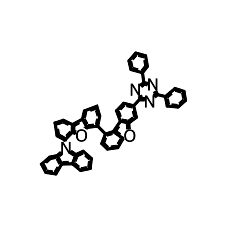 c1ccc(-c2nc(-c3ccccc3)nc(-c3ccc4c(c3)oc3cccc(-c5cccc6c5oc5c(-n7c8ccccc8c8ccccc87)cccc56)c34)n2)cc1